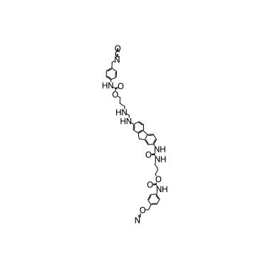 N#COCc1ccc(NC(=O)OCCCNC(=O)Nc2ccc3c(c2)Cc2cc(NCNCCCOC(=O)Nc4ccc(CN=C=O)cc4)ccc2-3)cc1